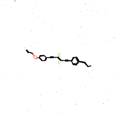 CCCOc1ccc(C#C/C(F)=C(\F)C#Cc2ccc(CCC)cc2)cc1